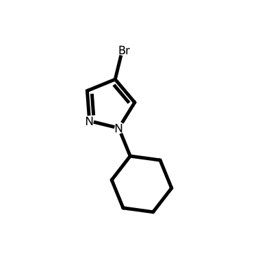 Brc1cnn([C]2CCCCC2)c1